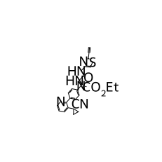 C#Cc1nc(NC(=O)NN(C(=O)OCC)c2ccc(-c3ncccc3C3(C#N)CC3)cc2)cs1